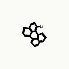 [Li][c]1ccc2cccc3c4cccc5cccc(c1c23)c54